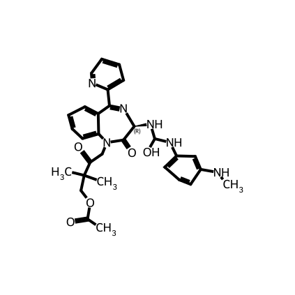 CNc1cccc(NC(O)N[C@@H]2N=C(c3ccccn3)c3ccccc3N(CC(=O)C(C)(C)COC(C)=O)C2=O)c1